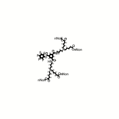 CCCCCCCCCOC(=O)CCCCN(CCCCNC(=O)c1cc(C(=O)NCCCCN(CCCCC(=O)OCCCCCCCCC)CCCCC(=O)OCCCCCCCCC)cc(C(=O)Oc2c(F)c(F)c(F)c(F)c2F)c1)CCCCC(=O)OCCCCCCCCC